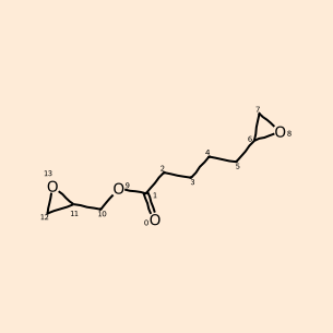 O=C(CCCCC1CO1)OCC1CO1